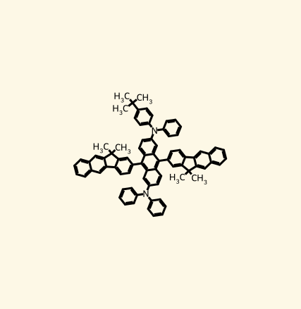 CC(C)(C)c1ccc(N(c2ccccc2)c2ccc3c(-c4ccc5c(c4)C(C)(C)c4cc6ccccc6cc4-5)c4cc(N(c5ccccc5)c5ccccc5)ccc4c(-c4ccc5c(c4)C(C)(C)c4cc6ccccc6cc4-5)c3c2)cc1